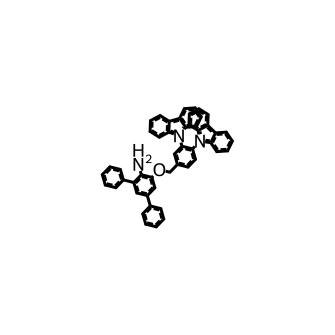 Nc1c(OCc2ccc(-n3c4ccccc4c4ccccc43)c(-n3c4ccccc4c4ccccc43)c2)cc(-c2ccccc2)cc1-c1ccccc1